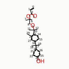 C=CC(=O)OC(C)(C)COC(C)(C)c1ccc(C(C)(C)c2ccc(O)cc2)cc1C